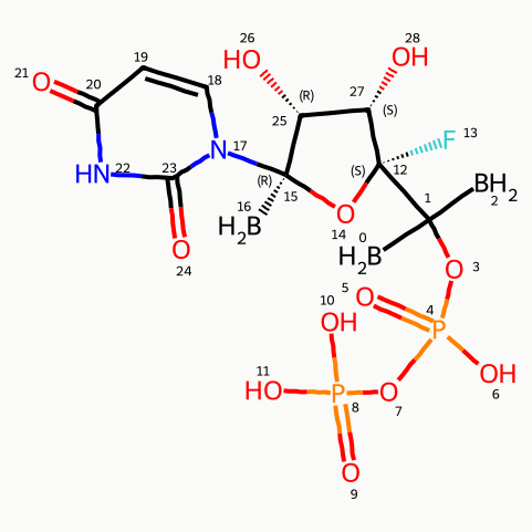 BC(B)(OP(=O)(O)OP(=O)(O)O)[C@@]1(F)O[C@@](B)(n2ccc(=O)[nH]c2=O)[C@H](O)[C@@H]1O